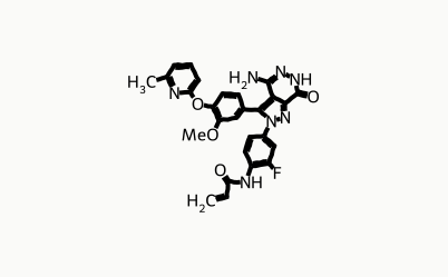 C=CC(=O)Nc1ccc(-n2nc3c(=O)[nH]nc(N)c3c2-c2ccc(Oc3cccc(C)n3)c(OC)c2)cc1F